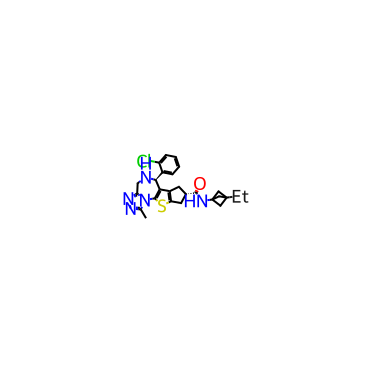 CCC12CC(NC(=O)[C@@H]3Cc4sc5c(c4C3)[C@H](c3ccccc3Cl)NCc3nnc(C)n3-5)(C1)C2